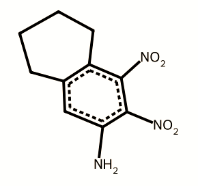 Nc1cc2c(c([N+](=O)[O-])c1[N+](=O)[O-])CCCC2